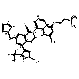 Cc1cc(OCCN(C)C)c2cncc(N3CCc4c(cc(Cn5ccnc5)cc4-c4cn(C)nc4C(F)(F)F)C3=O)c2c1